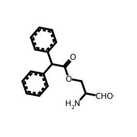 NC([C]=O)COC(=O)C(c1ccccc1)c1ccccc1